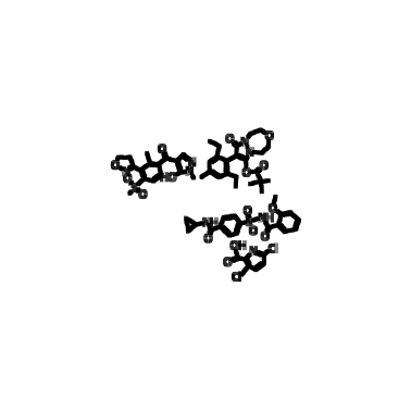 CCc1cc(C)cc(CC)c1-c1c(OC(=O)C(C)(C)C)n2n(c1=O)CCOCC2.COc1ccccc1C(=O)NS(=O)(=O)c1ccc(C(=O)NC2CC2)cc1.Cc1c(C(=O)c2cnn(C)c2O)ccc(S(C)(=O)=O)c1C1=NOCC1.O=C(O)c1nc(Cl)ccc1Cl